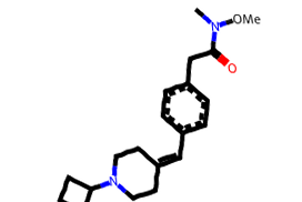 CON(C)C(=O)Cc1ccc(C=C2CCN(C3CCC3)CC2)cc1